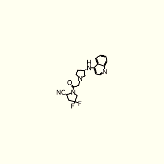 N#C[C@@H]1CC(F)(F)CN1C(=O)CN1CC[C@H](Nc2ccnc3ccccc23)C1